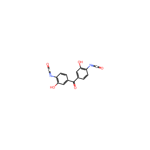 O=C=Nc1ccc(C(=O)c2ccc(N=C=O)c(O)c2)cc1O